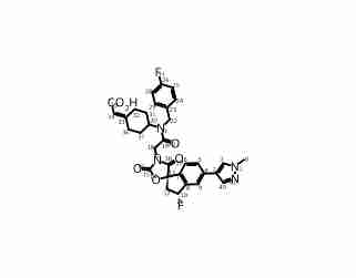 Cn1cc(-c2ccc3c(c2)[C@H](F)C[C@]32OC(=O)N(CC(=O)N(Cc3ccc(F)cc3)C3CCC(=CC(=O)O)CC3)C2=O)cn1